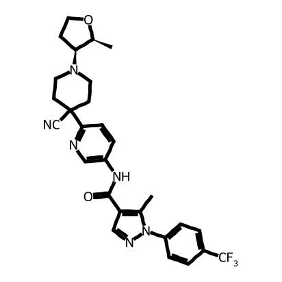 Cc1c(C(=O)Nc2ccc(C3(C#N)CCN([C@H]4CCO[C@H]4C)CC3)nc2)cnn1-c1ccc(C(F)(F)F)cc1